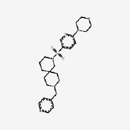 O=S(=O)(c1ccc(N2CCOCC2)nc1)N1CCCC2(CCN(Cc3ccncc3)CC2)C1